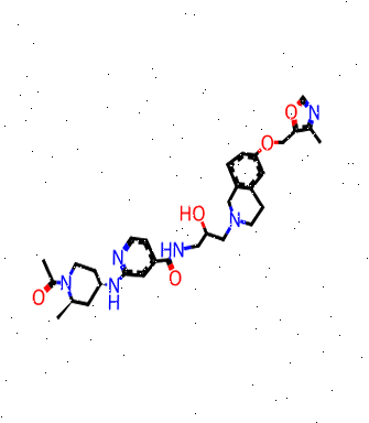 CC(=O)N1CC[C@H](Nc2cc(C(=O)NCC(O)CN3CCc4cc(OCc5ocnc5C)ccc4C3)ccn2)C[C@H]1C